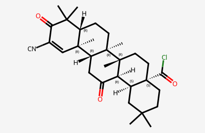 [C-]#[N+]C1=C[C@]2(C)[C@H]3CC(=O)[C@@H]4[C@@H]5CC(C)(C)CC[C@]5(C(=O)Cl)CC[C@@]4(C)[C@]3(C)CC[C@H]2C(C)(C)C1=O